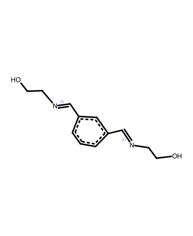 OCC/N=C/c1cccc(/C=N/CCO)c1